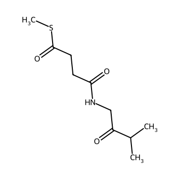 CSC(=O)CCC(=O)NCC(=O)C(C)C